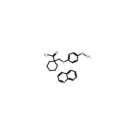 COc1ccc(SCC2(C(N)=O)CCCCC2)cc1.c1ccc2ncccc2c1